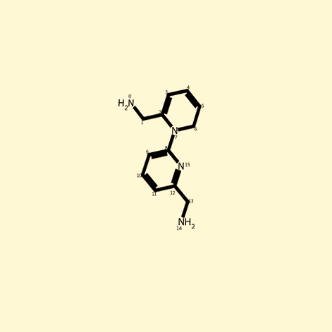 NCC1=CC=CCN1c1cccc(CN)n1